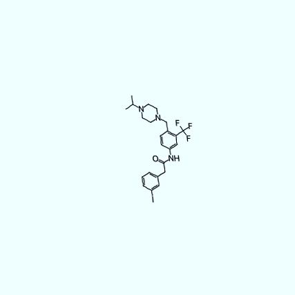 CC(C)N1CCN(Cc2ccc(NC(=O)Cc3cccc(I)c3)cc2C(F)(F)F)CC1